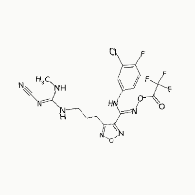 CN/C(=N\C#N)NCCCc1nonc1/C(=N/OC(=O)C(F)(F)F)Nc1ccc(F)c(Cl)c1